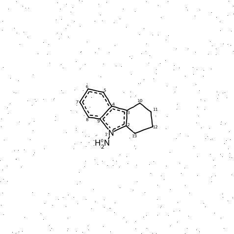 Nn1c2c(c3ccccc31)CCCC2